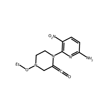 CCON1CCN(c2nc(N)ccc2[N+](=O)[O-])C(=C=O)C1